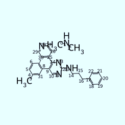 CNC.Cc1cccc(-c2cnc(NCCCc3ccccc3)nc2-c2ccncc2)c1